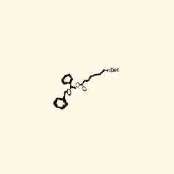 CCCCCCCCCCCCCCCC(=O)OCC(OCc1ccccc1)c1ccccc1